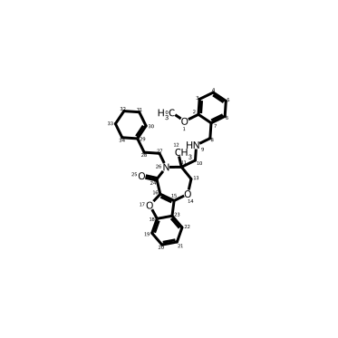 COc1ccccc1CNCC1(C)COc2c(oc3ccccc23)C(=O)N1CCC1=CCCCC1